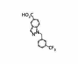 O=C(O)c1ccc2c(cnn2Cc2cccc(C(F)(F)F)c2)c1